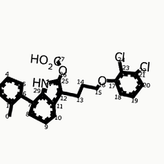 Cc1ccccc1-c1cccc2c(CCCOc3cccc(Cl)c3Cl)c(OC(=O)O)[nH]c12